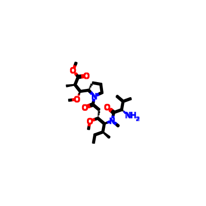 CC[C@H](C)[C@@H]([C@@H](CC(=O)N1CCC[C@H]1[C@H](OC)[C@@H](C)C(=O)OC)OC)N(C)C(=O)[C@@H](N)C(C)C